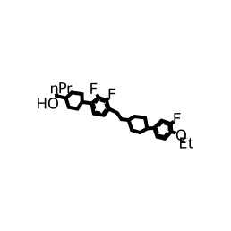 CCCC(O)C1CCC(c2ccc(CCC3CCC(c4ccc(OCC)c(F)c4)CC3)c(F)c2F)CC1